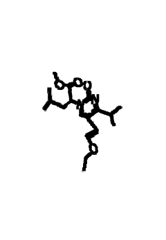 CCO/C=C/c1cn([C@@H](CC(C)C)C(=O)OC)c(=O)nc1C(C)C